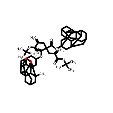 C=C(CC(CC(=C)C(=O)OC(C)(C)C)(C(=O)OC1CC2C3C4CC5CC3(C)C3C6(C5)CC5CC(C46)C2C3(C5)C1)C(=O)OC12CC3C4C5CC6CC78CC9CC(C57)C3C(C9)(C1)C8C4(C6)C2)C(=O)OC(C)(C)C